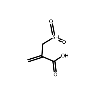 C=C(C[SH](=O)=O)C(=O)O